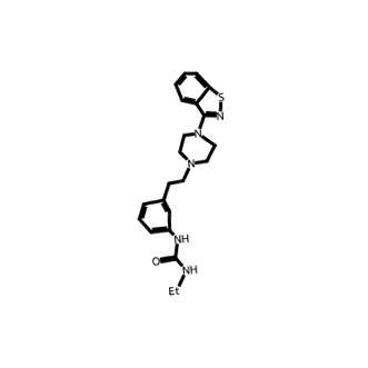 CCNC(=O)Nc1cccc(CCN2CCN(c3nsc4ccccc34)CC2)c1